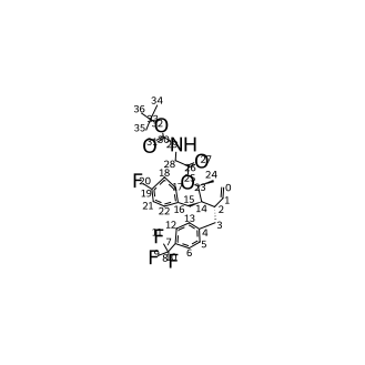 C=C[C@H](Cc1ccc(C(F)(F)F)cc1)[C@@H](Cc1ccc(F)cc1)[C@H](C)OC(=O)CNC(=O)OC(C)(C)C